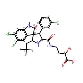 CC(C)(C)CC1NC(C(=O)NCCC(O)C(=O)O)C(c2cccc(Cl)c2)C12C(=O)Nc1cc(Cl)c(F)cc12